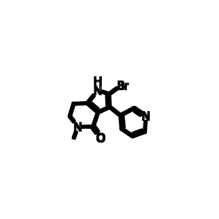 CN1CCc2[nH]c(Br)c(-c3cccnc3)c2C1=O